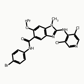 CCCOc1cc2c(cc1C(=O)Nc1ccc(Br)cc1)nc(Nc1c(Cl)cncc1Cl)n2C